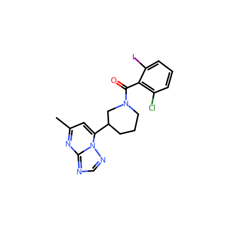 Cc1cc(C2CCCN(C(=O)c3c(Cl)cccc3I)C2)n2ncnc2n1